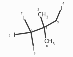 CC(C)(CI)C(I)(I)I